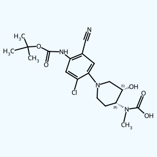 CN(C(=O)O)[C@@H]1CCN(c2cc(C#N)c(NC(=O)OC(C)(C)C)cc2Cl)C[C@@H]1O